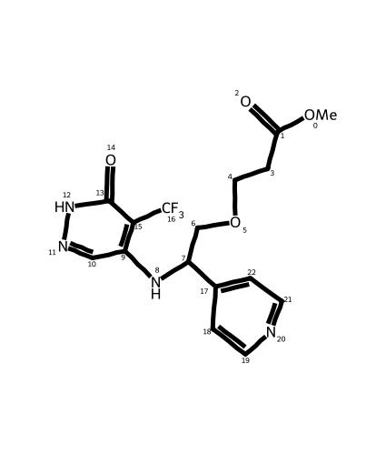 COC(=O)CCOCC(Nc1cn[nH]c(=O)c1C(F)(F)F)c1ccncc1